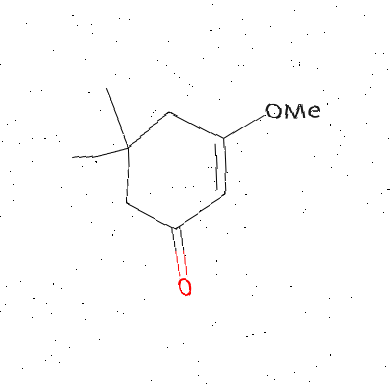 COC1=CC(=O)CC(C)(C)C1